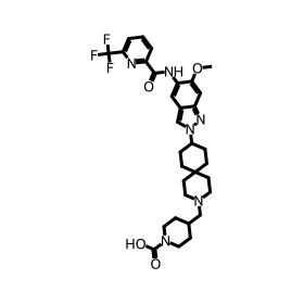 COc1cc2nn(C3CCC4(CC3)CCN(CC3CCN(C(=O)O)CC3)CC4)cc2cc1NC(=O)c1cccc(C(F)(F)F)n1